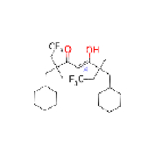 CC(CC1CCCCC1)(CC(F)(F)F)C(=O)/C=C(\O)C(C)(CC1CCCCC1)CC(F)(F)F